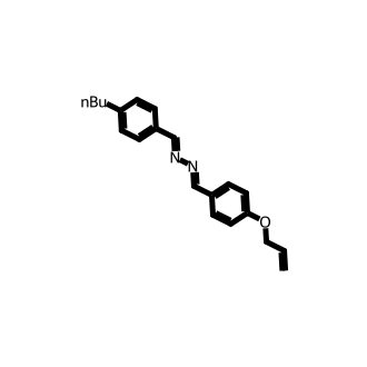 C=CCOc1ccc(C=NN=Cc2ccc(CCCC)cc2)cc1